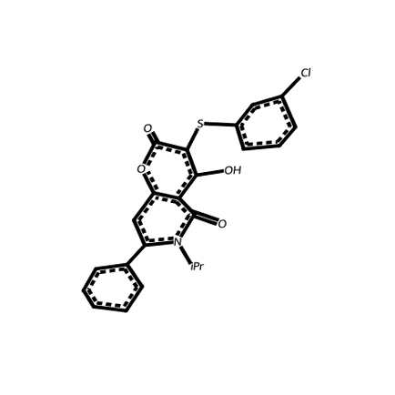 CC(C)n1c(-c2ccccc2)cc2oc(=O)c(Sc3cccc(Cl)c3)c(O)c2c1=O